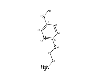 CSc1ccc(SCCN)nc1